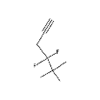 C#CCC(F)(F)C(C)(C)C